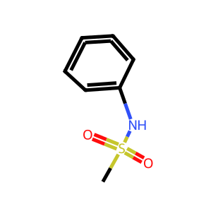 CS(=O)(=O)NC1=CC=C=C=C1